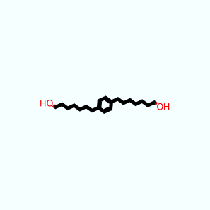 OCCCCCCCc1ccc(CCCCCCCO)cc1